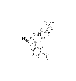 COc1cccc(C2(CC#N)CCN(OC(=O)C(C)(C)C)CC2)c1